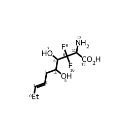 CC/C=C/CC(O)C(O)C(F)(F)C(N)C(=O)O